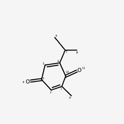 CC1=CC(=O)C=C(C(C)C)C1=O